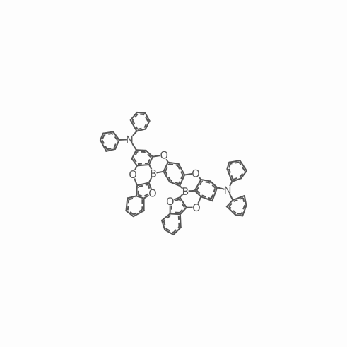 c1ccc(N(c2ccccc2)c2cc3c4c(c2)Oc2c(oc5ccccc25)B4c2cc4c(cc2O3)Oc2cc(N(c3ccccc3)c3ccccc3)cc3c2B4c2oc4ccccc4c2O3)cc1